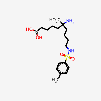 Cc1ccc(S(=O)(=O)NCCCCC(N)(CCCCB(O)O)C(=O)O)cc1